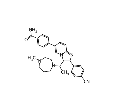 CC(c1c(-c2ccc(C#N)cc2)nc2ccc(-c3ccc(C(N)=O)cc3)cn12)N1CCCN(C)CC1